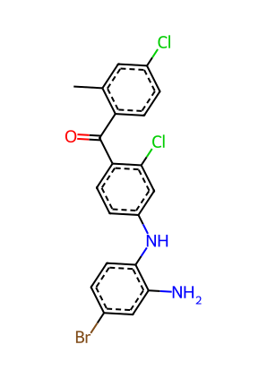 Cc1cc(Cl)ccc1C(=O)c1ccc(Nc2ccc(Br)cc2N)cc1Cl